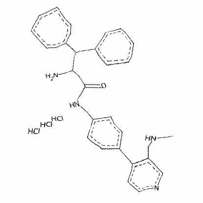 CNc1cnccc1-c1ccc(NC(=O)C(N)C(c2ccccc2)c2ccccc2)cc1.Cl.Cl.Cl